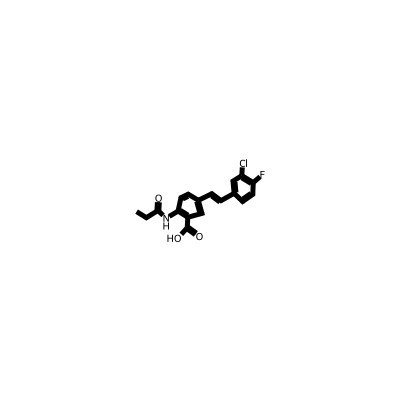 CCC(=O)Nc1ccc(C=Cc2ccc(F)c(Cl)c2)cc1C(=O)O